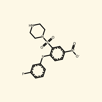 O=[N+]([O-])c1ccc(Sc2cccc(F)c2)c(S(=O)(=O)N2CCNCC2)c1